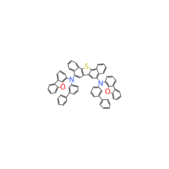 c1ccc(-c2cccc(N(c3cc4c5cc(N(c6cccc(-c7ccccc7)c6)c6cccc7c6oc6ccccc67)c6ccccc6c5sc4c4ccccc34)c3cccc4c3oc3ccccc34)c2)cc1